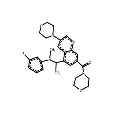 CC(c1cc(C(=O)N2CCOCC2)cc2ncc(N3CCOCC3)nc12)N(C)c1cccc(F)c1